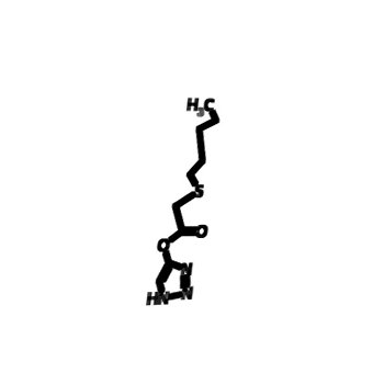 CCCCCSCC(=O)Oc1c[nH]nn1